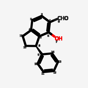 O=Cc1ccc2c(c1O)[C@@H](c1ccccc1)CC2